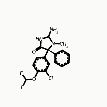 CN1C(N)NC(=O)[C@@]1(c1ccccc1)c1ccc(OC(F)F)c(Cl)c1